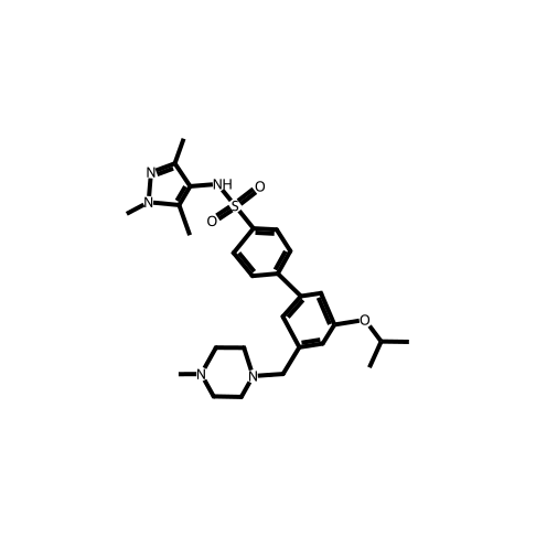 Cc1nn(C)c(C)c1NS(=O)(=O)c1ccc(-c2cc(CN3CCN(C)CC3)cc(OC(C)C)c2)cc1